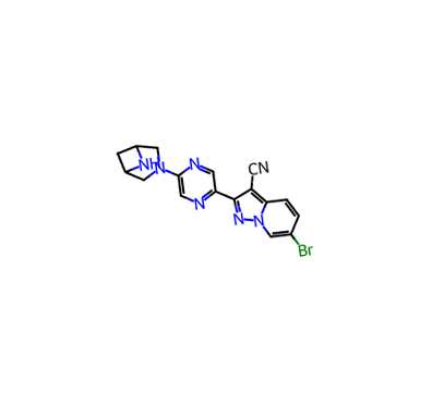 N#Cc1c(-c2cnc(N3CC4CC(C3)N4)cn2)nn2cc(Br)ccc12